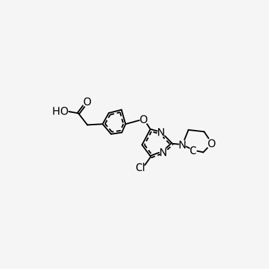 O=C(O)Cc1ccc(Oc2cc(Cl)nc(N3CCOCC3)n2)cc1